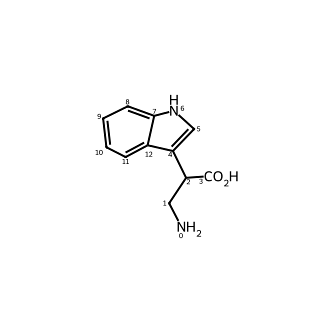 NCC(C(=O)O)c1c[nH]c2ccccc12